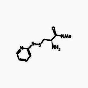 CNC(=O)[C@H](N)CSSc1ccccn1